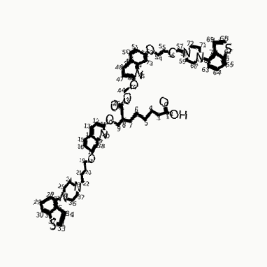 O=C(O)CCCCCC(COc1ccc2ccc(OCCCCN3CCN(c4cccc5sccc45)CC3)cc2n1)C(=O)OCOc1ccc2ccc(OCCCCN3CCN(c4cccc5sccc45)CC3)cc2n1